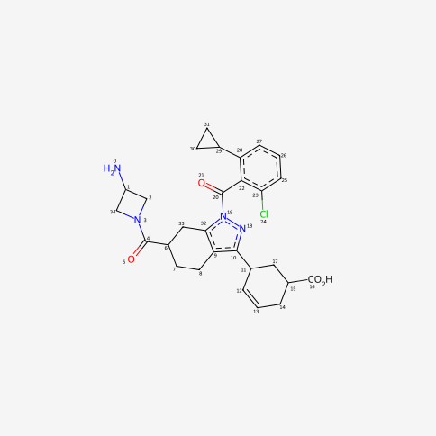 NC1CN(C(=O)C2CCc3c(C4C=CCC(C(=O)O)C4)nn(C(=O)c4c(Cl)cccc4C4CC4)c3C2)C1